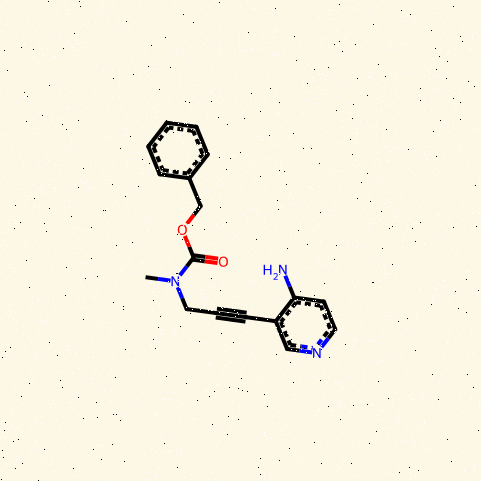 CN(CC#Cc1cnccc1N)C(=O)OCc1ccccc1